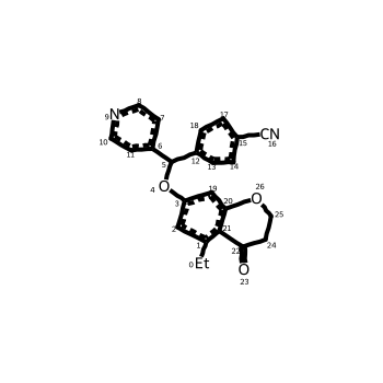 CCc1cc(OC(c2ccncc2)c2ccc(C#N)cc2)cc2c1C(=O)CCO2